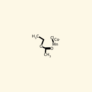 CCOC(C)=O.[Cl][Mn].[Co]